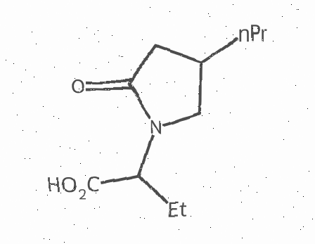 CCCC1CC(=O)N(C(CC)C(=O)O)C1